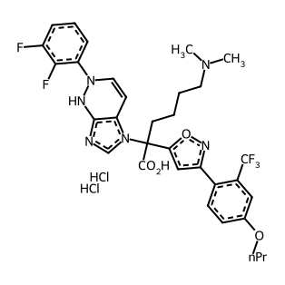 CCCOc1ccc(-c2cc(C(CCCCN(C)C)(C(=O)O)n3cnc4c3C=CN(c3cccc(F)c3F)N4)on2)c(C(F)(F)F)c1.Cl.Cl